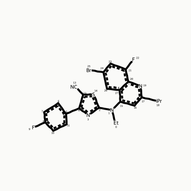 CCN(c1nc(-c2ccc(F)cc2)c(C#N)s1)c1cc(C(C)C)nc2c(F)cc(Br)cc12